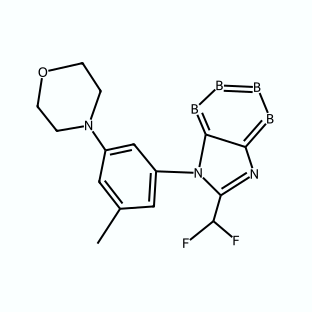 Cc1cc(N2CCOCC2)cc(-n2c(C(F)F)nc3bbbbc32)c1